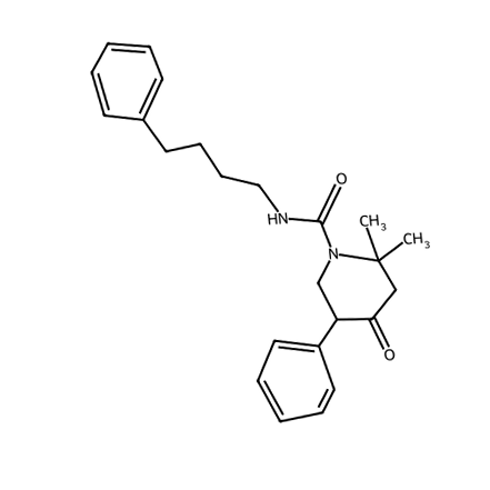 CC1(C)CC(=O)C(c2ccccc2)CN1C(=O)NCCCCc1ccccc1